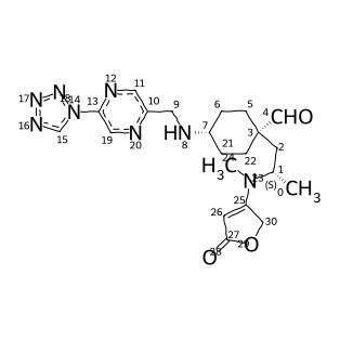 C[C@@H](C[C@]1(C=O)CC[C@@H](NCc2cnc(-n3cnnn3)cn2)CC1)N(C)C1=CC(=O)OC1